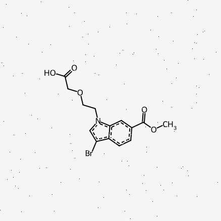 COC(=O)c1ccc2c(Br)cn(CCOCC(=O)O)c2c1